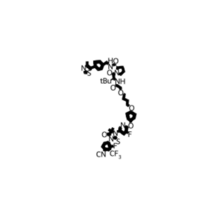 Cc1ncsc1-c1ccc(CNC(=O)[C@@H]2CCCN2C(=O)[C@@H](NC(=O)COCCCCOc2ccc(Oc3ncc(N4C(=S)N(c5ccc(C#N)c(C(F)(F)F)c5F)C(=O)C4(C)C)cc3F)cc2)C(C)(C)C)cc1